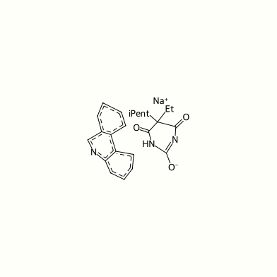 CCCC(C)C1(CC)C(=O)N=C([O-])NC1=O.[Na+].c1ccc2c(c1)cnc1ccccc12